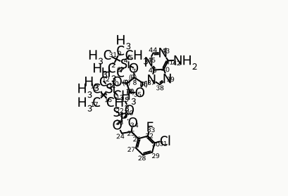 CC(C)(C)[Si](C)(C)O[C@@H]1[C@H](O[Si](C)(C)C(C)(C)C)[C@@H](COP2(=S)OCC(c3cccc(Cl)c3F)O2)O[C@H]1n1cnc2c(N)ncnc21